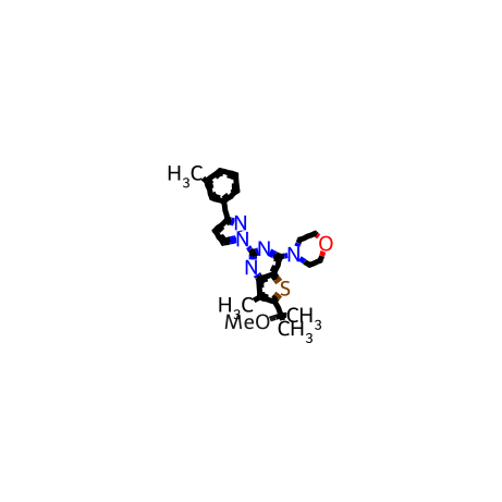 COC(C)(C)c1sc2c(N3CCOCC3)nc(-n3ccc(-c4cccc(C)c4)n3)nc2c1C